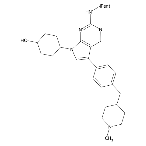 CCCC(C)Nc1ncc2c(-c3ccc(CC4CCN(C)CC4)cc3)cn(C3CCC(O)CC3)c2n1